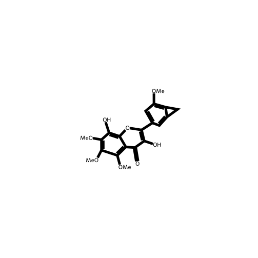 COc1cc(-c2oc3c(O)c(OC)c(OC)c(OC)c3c(=O)c2O)cc2c1C2